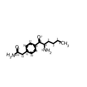 CCCCC(N)C(=O)c1ccc(CC(N)=O)cc1